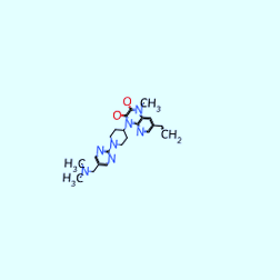 C=Cc1cnc2c(c1)n(C)c(=O)c(=O)n2C1CCN(c2ncc(CN(C)C)cn2)CC1